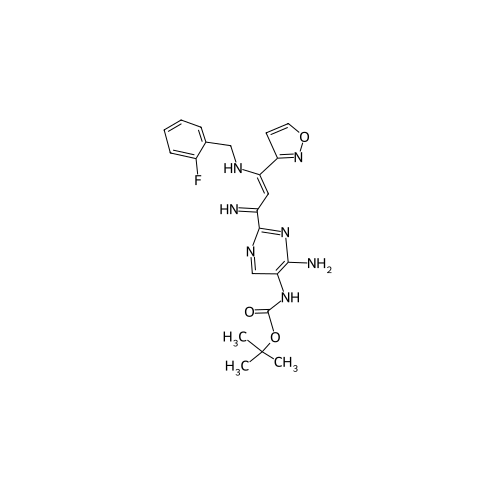 CC(C)(C)OC(=O)Nc1cnc(C(=N)/C=C(\NCc2ccccc2F)c2ccon2)nc1N